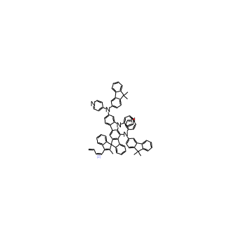 C=C/C=C\C1=C(C)C2(c3ccccc31)c1ccccc1-c1c2cc2c3ccc(N(c4ccncc4)c4ccc5c(c4)-c4ccccc4C5(C)C)cc3n(-c3ccccc3)c2c1N(c1ccncc1)c1ccc2c(c1)-c1ccccc1C2(C)C